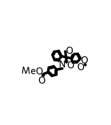 COC(=O)c1ccc(CN2C(=O)C3(COc4cc5c(cc43)OCO5)c3ccccc32)cc1